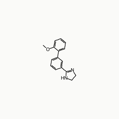 COc1ccccc1-c1cccc(C2=NCCN2)c1